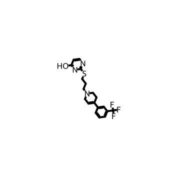 Oc1ccnc(SCCCN2CC=C(c3cccc(C(F)(F)F)c3)CC2)n1